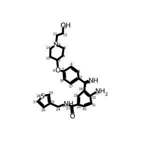 N=C(c1ccc(OC2CCN(CCO)CC2)cc1)c1cc(C(=O)NCc2ccsc2)ccc1N